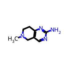 CN1CCc2nc(N)ncc2C1